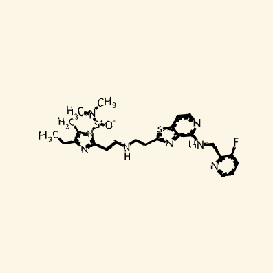 CCc1nc(CCNCCc2nc3c(NCc4ncccc4F)nccc3s2)n([S+]([O-])N(C)C)c1C